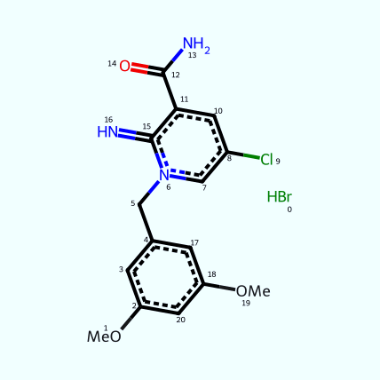 Br.COc1cc(Cn2cc(Cl)cc(C(N)=O)c2=N)cc(OC)c1